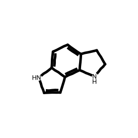 c1cc2c3c(ccc2[nH]1)CCN3